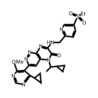 CCS(=O)(=O)c1ccc(CNc2nc3nnc(-c4c(OC)ncnc4C4CC4)cc3n(C(C)C3CC3)c2=O)nc1